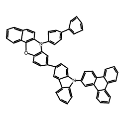 c1ccc(-c2ccc(N3c4cc(-c5ccc6c(c5)c5ccccc5n6-c5ccc6c7ccccc7c7ccccc7c6c5)ccc4Oc4c3ccc3ccccc43)cc2)cc1